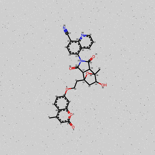 Cc1cc(=O)oc2cc(OCCC34CC(O)C(C)(O3)C3C(=O)N(c5ccc(C#N)c6ncccc56)C(=O)C34)ccc12